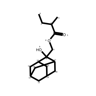 CCC(C)C(=O)OCC1(O)C2CC3CC(C2)CC1C3